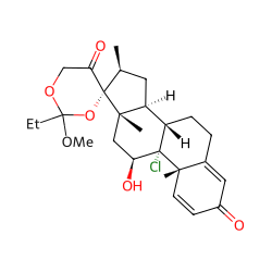 CCC1(OC)OCC(=O)[C@@]2(O1)[C@@H](C)C[C@H]1[C@@H]3CCC4=CC(=O)C=C[C@]4(C)[C@@]3(Cl)[C@@H](O)C[C@@]12C